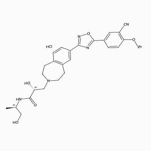 CC(C)Oc1ccc(-c2nc(-c3ccc4c(c3)CCN(C[C@@H](O)C(=O)N[C@H](C)CO)CC4)no2)cc1C#N.Cl